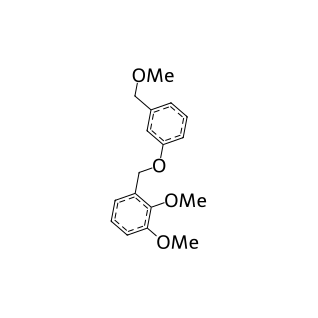 COCc1cccc(OCc2cccc(OC)c2OC)c1